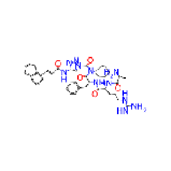 C[C@H](N)C(=O)N[C@@H](CCCNC(=N)N)C(=O)N[C@@H](Cc1ccccc1)C(=O)N(C(=O)n1cc(NC(=O)C=Cc2cccc3ccccc23)nn1)C1CCCCC1